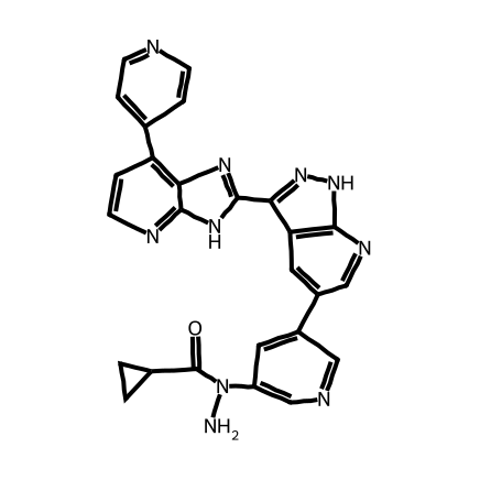 NN(C(=O)C1CC1)c1cncc(-c2cnc3[nH]nc(-c4nc5c(-c6ccncc6)ccnc5[nH]4)c3c2)c1